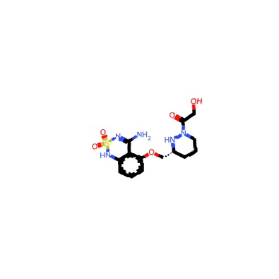 NC1=NS(=O)(=O)Nc2cccc(OC[C@H]3CCCN(C(=O)CO)N3)c21